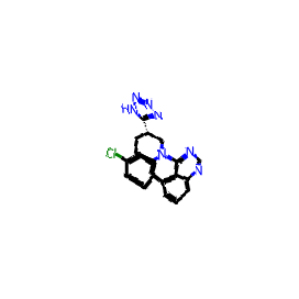 Clc1ccc(-c2cccc3ncnc(N4CCC[C@H](c5nnn[nH]5)C4)c23)cc1